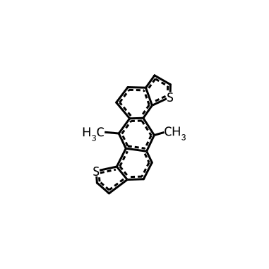 Cc1c2ccc3ccsc3c2c(C)c2ccc3ccsc3c12